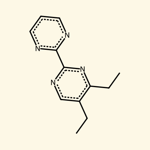 CCc1cnc(-c2ncccn2)nc1CC